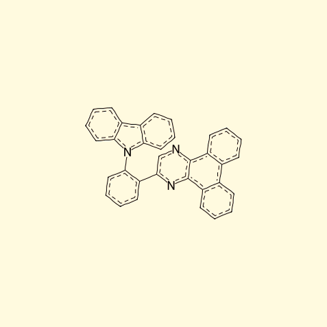 c1ccc(-n2c3ccccc3c3ccccc32)c(-c2cnc3c4ccccc4c4ccccc4c3n2)c1